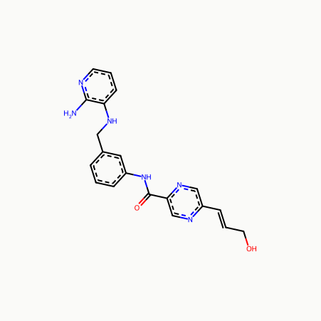 Nc1ncccc1NCc1cccc(NC(=O)c2cnc(/C=C/CO)cn2)c1